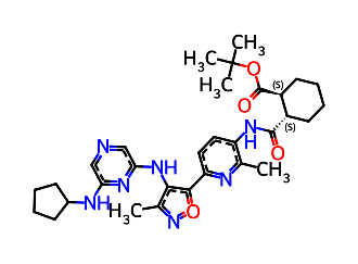 Cc1nc(-c2onc(C)c2Nc2cncc(NC3CCCC3)n2)ccc1NC(=O)[C@H]1CCCC[C@@H]1C(=O)OC(C)(C)C